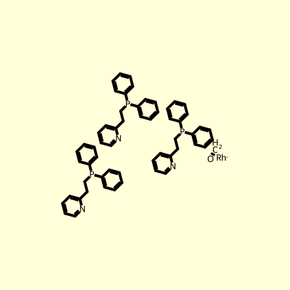 C=O.[Rh].c1ccc(P(CCc2ccccn2)c2ccccc2)cc1.c1ccc(P(CCc2ccccn2)c2ccccc2)cc1.c1ccc(P(CCc2ccccn2)c2ccccc2)cc1